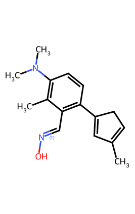 CC1=CCC(c2ccc(N(C)C)c(C)c2/C=N/O)=C1